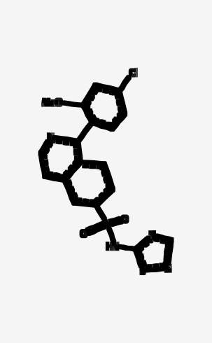 COc1cc(Cl)ccc1-c1nccc2cc(S(=O)(=O)Nc3ncns3)ccc12